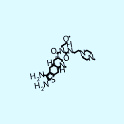 COCCN(C(=O)NCCN1CCN(C)CC1)C(=O)[C@@H]1C[C@@H]2Cc3c(sc(N)c3N)C[C@H]2N(C)C1